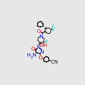 N#Cc1ccc(Oc2ncn(C[C@]3(O)CCN(C(=O)[C@@H]4CCC(F)(F)C[C@H]4c4ccccc4)CC3(F)F)c(=O)c2N)cc1